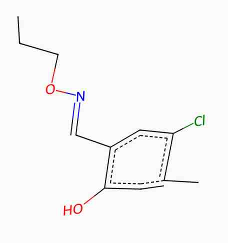 CCCON=Cc1cc(Cl)c(C)cc1O